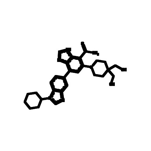 NC(=O)c1c(N2CCC(CO)(CO)CC2)cc(-c2ccc3c(c2)ncn3C2CCCCC2)c2nc[nH]c12